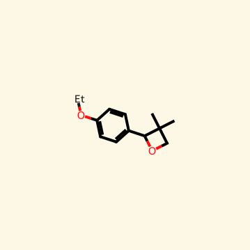 CCOc1ccc(C2OCC2(C)C)cc1